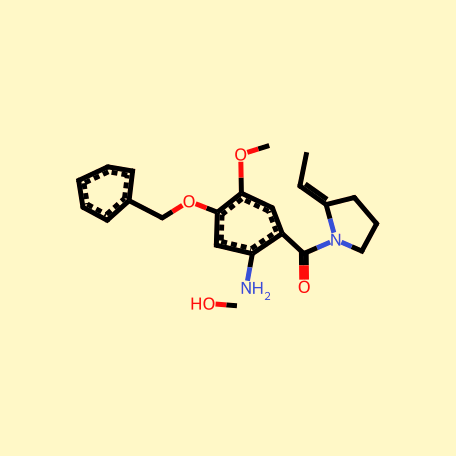 CC=C1CCCN1C(=O)c1cc(OC)c(OCc2ccccc2)cc1N.CO